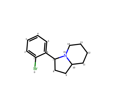 Brc1ccccc1C1CCC2CCCCN21